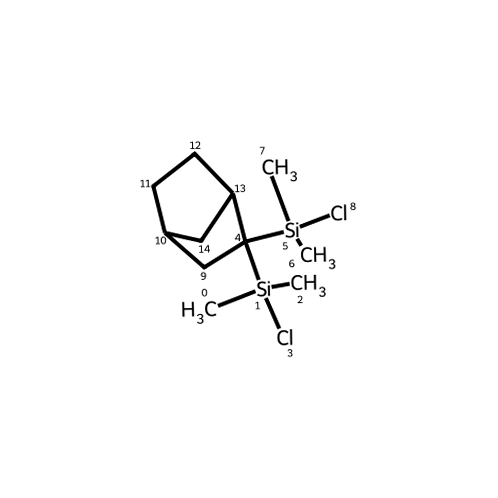 C[Si](C)(Cl)C1([Si](C)(C)Cl)CC2CCC1C2